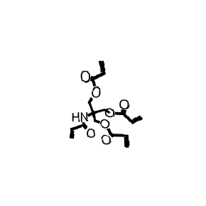 C=CC(=O)NC(COC(=O)C=C)(COC(=O)C=C)COC(=O)C=C